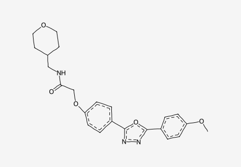 COc1ccc(-c2nnc(-c3ccc(OCC(=O)NCC4CCOCC4)cc3)o2)cc1